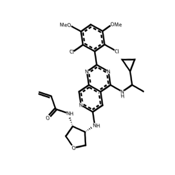 C=CC(=O)N[C@H]1COC[C@H]1Nc1cc2c(NC(C)C3CC3)nc(-c3c(Cl)c(OC)cc(OC)c3Cl)nc2cn1